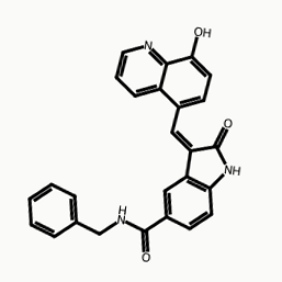 O=C1Nc2ccc(C(=O)NCc3ccccc3)cc2C1=Cc1ccc(O)c2ncccc12